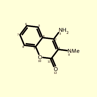 CNc1c(N)c2ccccc2oc1=O